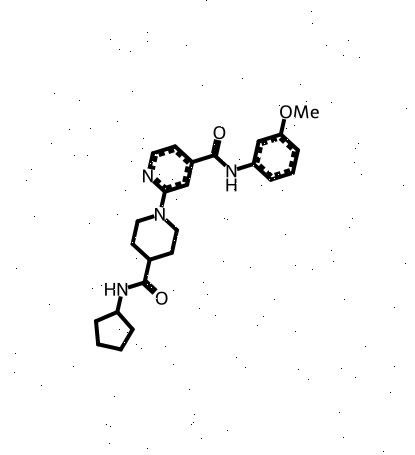 COc1cccc(NC(=O)c2ccnc(N3CCC(C(=O)NC4CCCC4)CC3)c2)c1